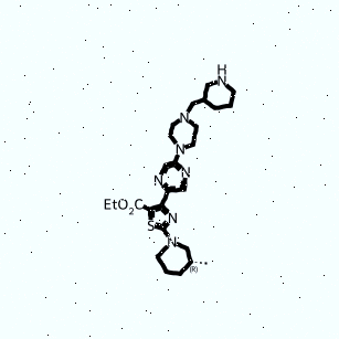 CCOC(=O)c1sc(N2CCC[C@@H](C)C2)nc1-c1cnc(N2CCN(CC3CCCNC3)CC2)cn1